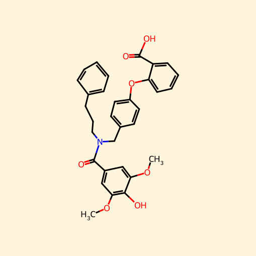 COc1cc(C(=O)N(CCCc2ccccc2)Cc2ccc(Oc3ccccc3C(=O)O)cc2)cc(OC)c1O